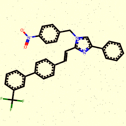 O=[N+]([O-])c1ccc(Cn2cc(-c3ccccc3)nc2/C=C/c2ccc(-c3cccc(C(F)(F)F)c3)cc2)cc1